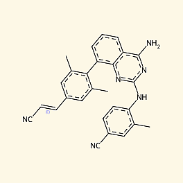 Cc1cc(C#N)ccc1Nc1nc(N)c2cccc(-c3c(C)cc(/C=C/C#N)cc3C)c2n1